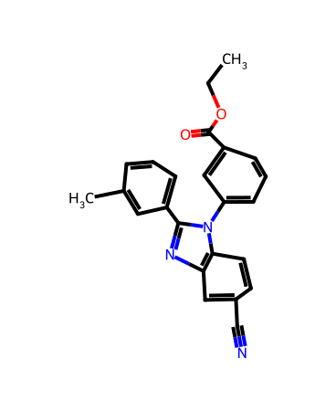 CCOC(=O)c1cccc(-n2c(-c3cccc(C)c3)nc3cc(C#N)ccc32)c1